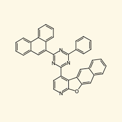 c1ccc(-c2nc(-c3cc4ccccc4c4ccccc34)nc(-c3ccnc4oc5cc6ccccc6cc5c34)n2)cc1